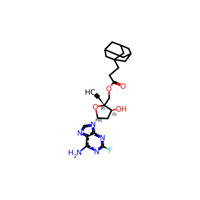 C#C[C@]1(COC(=O)CCC23CC4CC(CC(C4)C2)C3)O[C@@H](n2cnc3c(N)nc(F)nc32)C[C@@H]1O